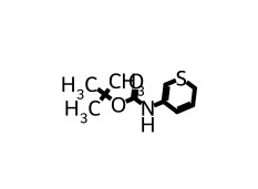 CC(C)(C)OC(=O)NC1=CSCC=C1